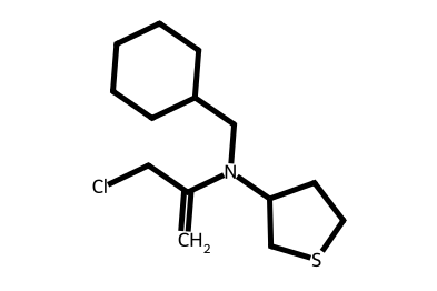 C=C(CCl)N(CC1CCCCC1)C1CCSC1